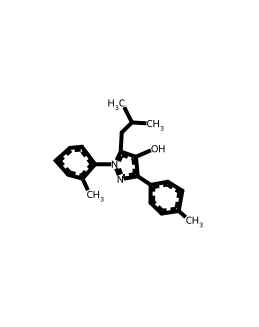 Cc1ccc(-c2nn(-c3ccccc3C)c(CC(C)C)c2O)cc1